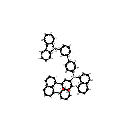 c1ccc(-c2cccc3cccc(-c4cccc(N(c5ccc(-c6cccc(-n7c8ccccc8c8ccccc87)c6)cc5)c5cccc6ccccc56)c4)c23)cc1